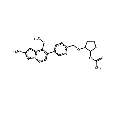 COc1c(-c2cnc(COC3CCCC3OC(C)=O)nc2)ccn2nc(N)cc12